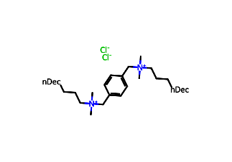 CCCCCCCCCCCCC[N+](C)(C)Cc1ccc(C[N+](C)(C)CCCCCCCCCCCCC)cc1.[Cl-].[Cl-]